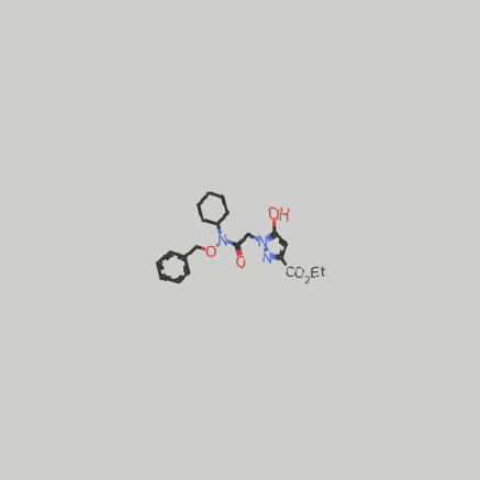 CCOC(=O)c1cc(O)n(CC(=O)N(OCc2ccccc2)C2CCCCC2)n1